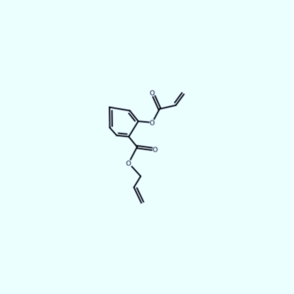 C=CCOC(=O)c1ccccc1OC(=O)C=C